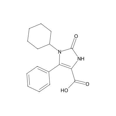 O=C(O)c1[nH]c(=O)n(C2CCCCC2)c1-c1ccccc1